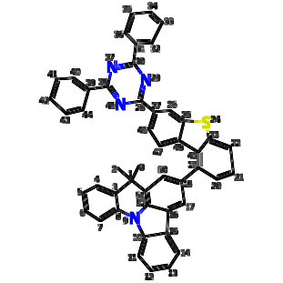 CC1(C)c2ccccc2-n2c3ccccc3c3cc(-c4cccc5sc6cc(-c7nc(-c8ccccc8)nc(-c8ccccc8)n7)ccc6c45)cc1c32